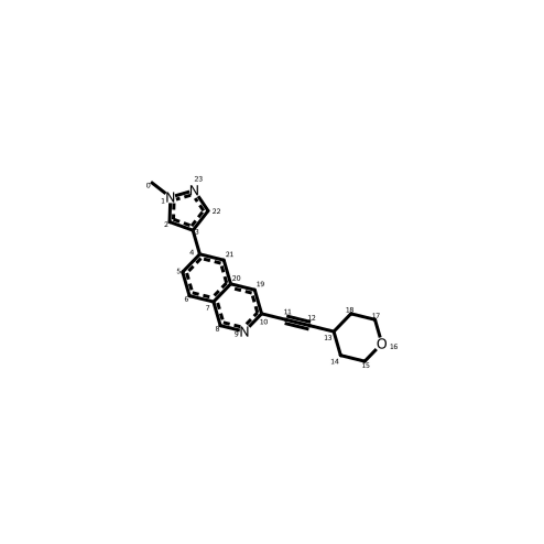 Cn1cc(-c2ccc3cnc(C#CC4CCOCC4)cc3c2)cn1